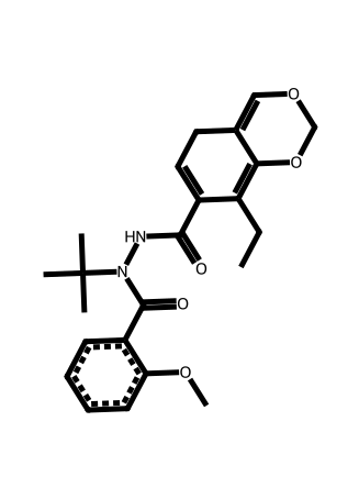 CCC1=C2OCOC=C2CC=C1C(=O)NN(C(=O)c1ccccc1OC)C(C)(C)C